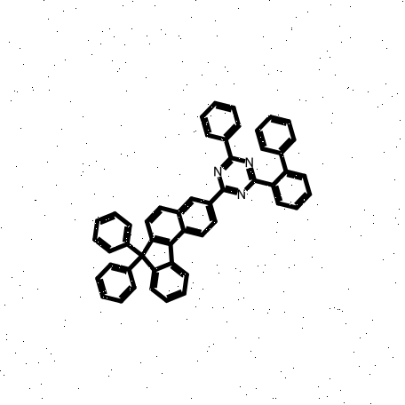 c1ccc(-c2nc(-c3ccc4c5c(ccc4c3)C(c3ccccc3)(c3ccccc3)c3ccccc3-5)nc(-c3ccccc3-c3ccccc3)n2)cc1